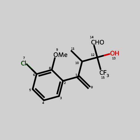 C=C(c1cccc(Cl)c1OC)C(C)C(O)(C=O)C(F)(F)F